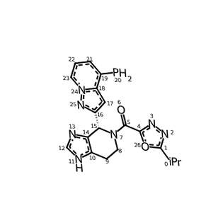 CC(C)c1nnc(C(=O)N2CCc3[nH]cnc3[C@@H]2c2cc3c(P)cccn3n2)o1